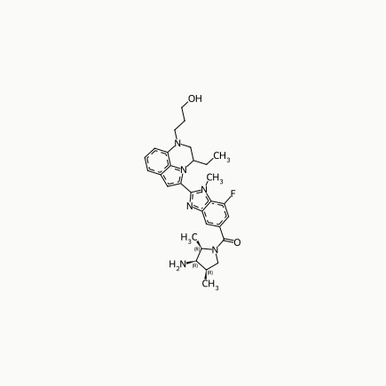 CCC1CN(CCCO)c2cccc3cc(-c4nc5cc(C(=O)N6C[C@@H](C)[C@@H](N)[C@H]6C)cc(F)c5n4C)n1c23